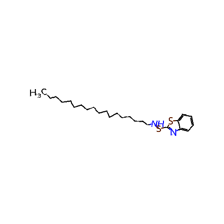 CCCCCCCCCCCCCCCCCCNSc1nc2ccccc2s1